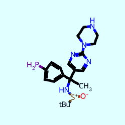 CC(N[S+]([O-])C(C)(C)C)(c1ccc(P)cc1)c1cnc(N2CCNCC2)nc1